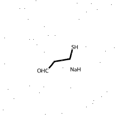 O=CCCS.[NaH]